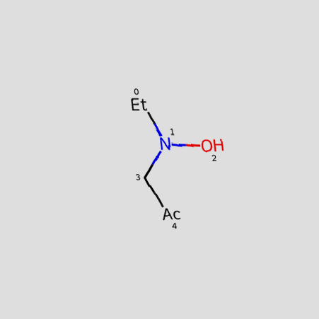 CCN(O)CC(C)=O